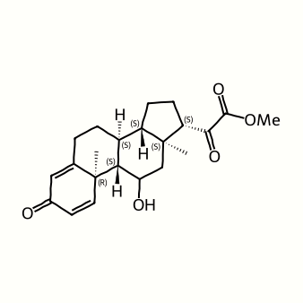 COC(=O)C(=O)[C@H]1CC[C@H]2[C@@H]3CCC4=CC(=O)C=C[C@]4(C)[C@H]3C(O)C[C@]12C